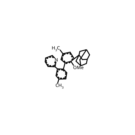 COc1c(-c2ccc(C)cc2-c2ccccn2)cc(C)cc1C12CC3CC(CC(C3)C1)C2